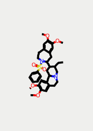 CCC1CN2CCc3cc(OC)c(OC)cc3C2CC1C1Cc2cc(OC)c(OC)cc2CCN1S(=O)(=O)c1ccccc1